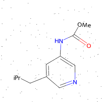 COC(=O)Nc1cncc(CC(C)C)c1